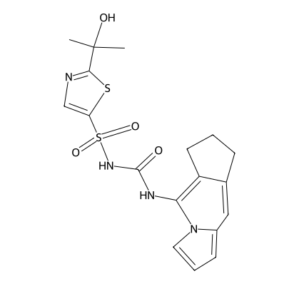 CC(C)(O)c1ncc(S(=O)(=O)NC(=O)Nc2c3c(cc4cccn24)CCC3)s1